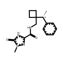 C[C@H](c1ccccc1)C1(CNC(=O)c2nn(C)c(=O)[nH]2)CCC1